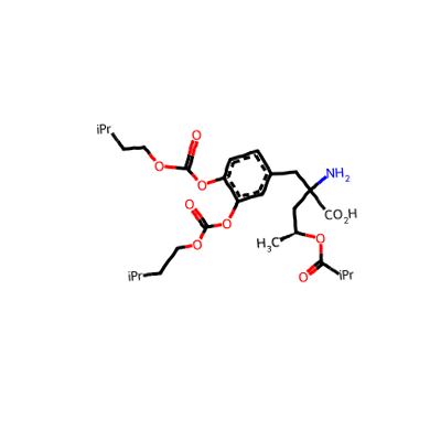 CC(C)CCOC(=O)Oc1ccc(CC(N)(C[C@H](C)OC(=O)C(C)C)C(=O)O)cc1OC(=O)OCCC(C)C